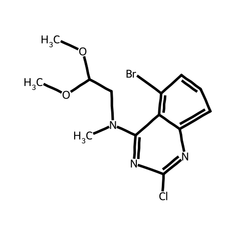 COC(CN(C)c1nc(Cl)nc2cccc(Br)c12)OC